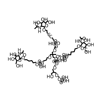 CC(=O)NC1C(OCCCCCCOP(=O)(O)OCCCOCC(COCOP(=O)(O)OCCCCCCOC2OC(CO)C(O)C(O)C2NC(C)=O)(COCOP(=O)(O)OCCCCCCOC2OC(CO)C(O)C(O)C2NC(C)=O)COP(=O)(O)OCOCC(CO)COCOP(=O)(O)O)OC(CO)C(O)C1O